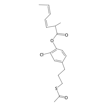 C/C=C\C=C/C(C)C(=O)Oc1ccc(CCCSC(C)=O)cc1Cl